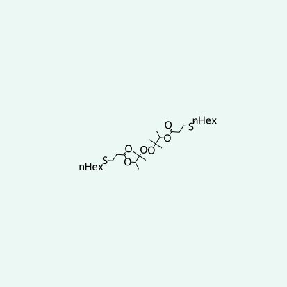 CCCCCCSCCC(=O)OC(C)C(C)(C)OOC(C)(C)C(C)OC(=O)CCSCCCCCC